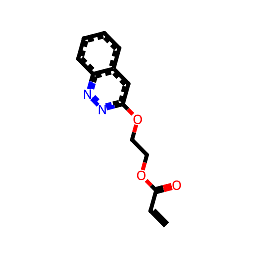 C=CC(=O)OCCOc1cc2ccccc2nn1